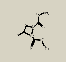 CC1CN(C(=O)ON)N1C(=O)ON